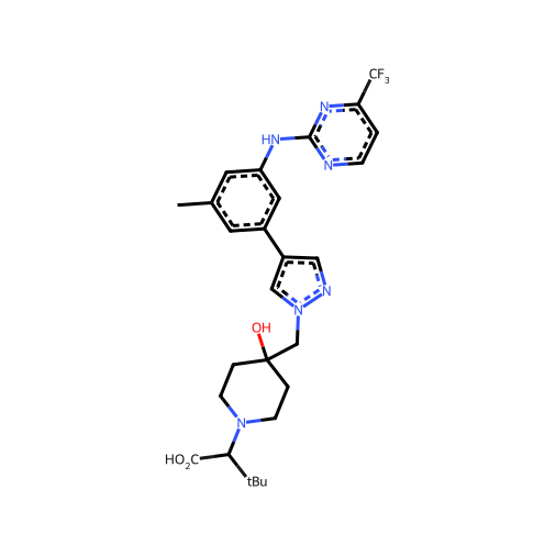 Cc1cc(Nc2nccc(C(F)(F)F)n2)cc(-c2cnn(CC3(O)CCN(C(C(=O)O)C(C)(C)C)CC3)c2)c1